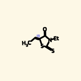 C/C=C1\SC(=S)N(CC)C1=O